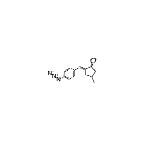 CC1CC(=O)C(=Cc2ccc(N=[N+]=[N-])cc2)C1